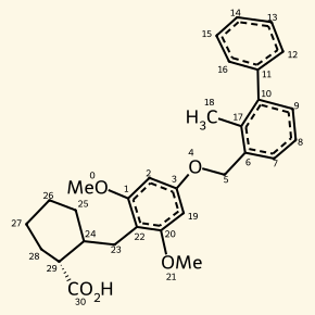 COc1cc(OCc2cccc(-c3ccccc3)c2C)cc(OC)c1CC1CCCC[C@H]1C(=O)O